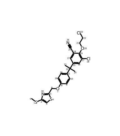 CSc1csc(COc2ccc(C(C)(C)c3cc(Cl)c(OCCCl)c(C#N)c3)cc2)n1